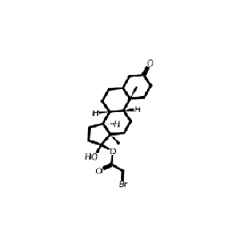 C[C@]12CCC(=O)CC1CC[C@@H]1[C@H]2CC[C@@]2(C)[C@H]1CCC2(O)OC(=O)CBr